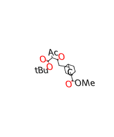 COC(=O)C12CCC(CC1)C(CC(=O)C(C(C)=O)C(=O)OC(C)(C)C)C2